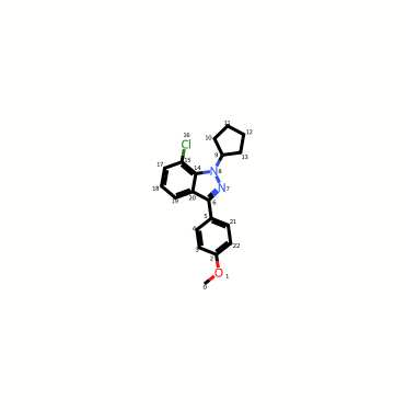 COc1ccc(-c2nn(C3CCCC3)c3c(Cl)cccc23)cc1